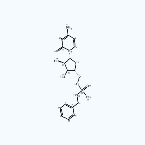 Nc1ccn([C@@H]2O[C@H](COP(=O)(O)NCc3ccccc3)C(O)[C@H]2O)c(=O)n1